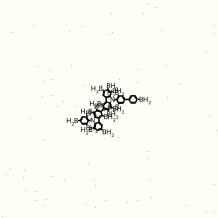 Bc1ccc(-c2cc(B)c(-n3c4c(B)c(B)c(B)cc4c4c(B)c(-c5c(B)c(B)c6c(c5B)c5cc(B)cc(B)c5n6-c5c(B)cc(B)cc5B)c(B)c(B)c43)c(B)c2)cc1